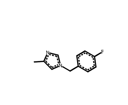 Cc1cn(Cc2ccc(F)cc2)cn1